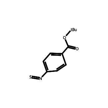 CC(C)(C)OC(=O)c1ccc(N=S)cc1